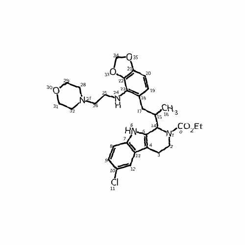 CCOC(=O)N1CCc2c([nH]c3ccc(Cl)cc23)C1C(C)Cc1ccc2c(c1NCCN1CCOCC1)OCO2